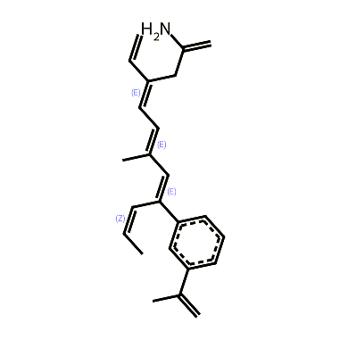 C=C/C(=C/C=C(C)/C=C(\C=C/C)c1cccc(C(=C)C)c1)CC(=C)N